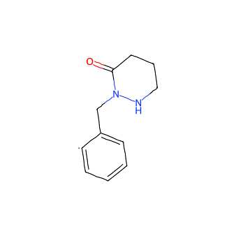 O=C1CCCNN1Cc1[c]cccc1